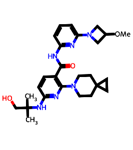 COC1CN(c2cccc(NC(=O)c3ccc(NC(C)(C)CO)nc3N3CCC4(CC3)CC4)n2)C1